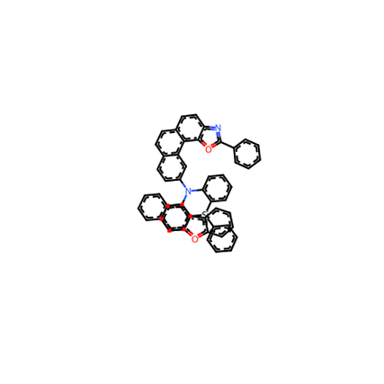 c1ccc(-c2nc3ccc4ccc5ccc(N(c6ccccc6[SiH](c6ccccc6)c6ccccc6)c6c7ccccc7cc7oc8ccccc8c67)cc5c4c3o2)cc1